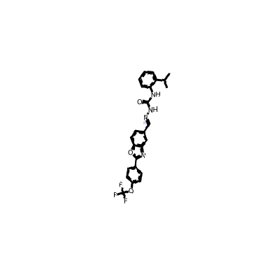 CC(C)c1ccccc1NC(=O)N/N=C/c1ccc2oc(-c3ccc(OC(F)(F)F)cc3)nc2c1